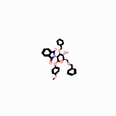 COc1ccc(O[C@@H]2O[C@H](COCc3ccccc3)[C@@H](O)[C@H](OCc3ccccc3)[C@H]2N2C(=O)c3ccccc3C2=O)cc1